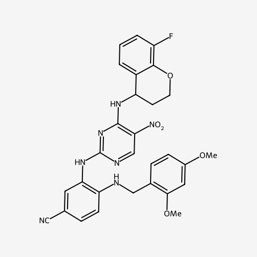 COc1ccc(CNc2ccc(C#N)cc2Nc2ncc([N+](=O)[O-])c(NC3CCOc4c(F)cccc43)n2)c(OC)c1